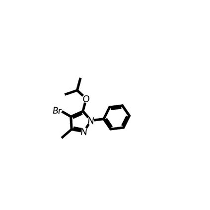 Cc1nn(-c2ccccc2)c(OC(C)C)c1Br